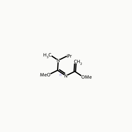 C=C(/N=C(/OC)N(C)C(C)C)OC